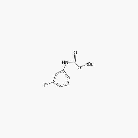 CC(C)(C)OC(=O)Nc1cccc(F)c1